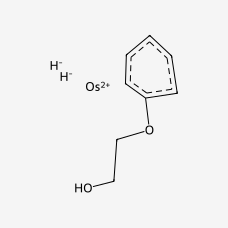 OCCOc1ccccc1.[H-].[H-].[Os+2]